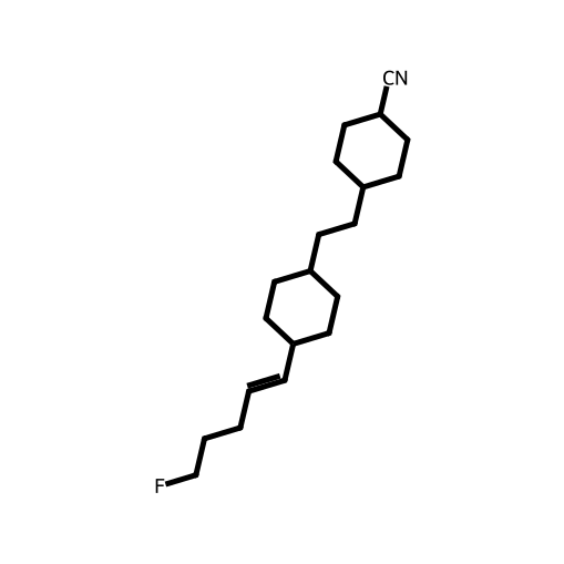 N#CC1CCC(CCC2CCC(C=CCCCF)CC2)CC1